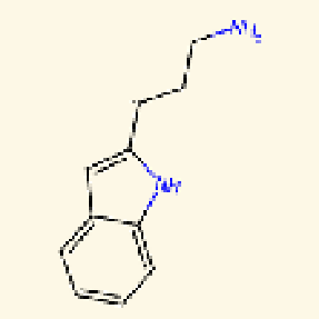 NCC[CH]c1cc2ccccc2[nH]1